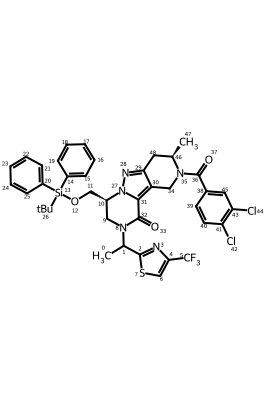 CC(c1nc(C(F)(F)F)cs1)N1C[C@@H](CO[Si](c2ccccc2)(c2ccccc2)C(C)(C)C)n2nc3c(c2C1=O)CN(C(=O)c1ccc(Cl)c(Cl)c1)[C@H](C)C3